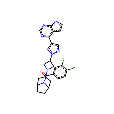 O=C(c1ccc(Cl)c(F)c1)N1C2CCC1CC(N1C[C](n3cc(-c4ncnc5[nH]ccc45)cn3)C1)C2